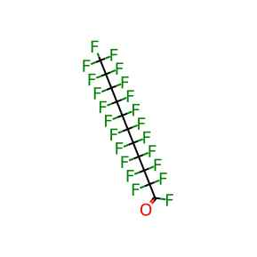 O=C(F)C(F)(F)C(F)(F)C(F)(F)C(F)(F)C(F)(F)C(F)(F)C(F)(F)C(F)(F)C(F)(F)C(F)(F)F